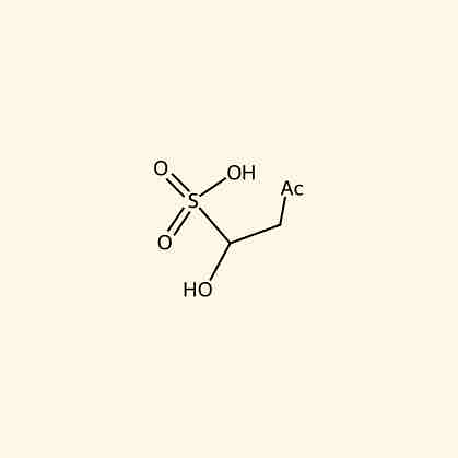 CC(=O)CC(O)S(=O)(=O)O